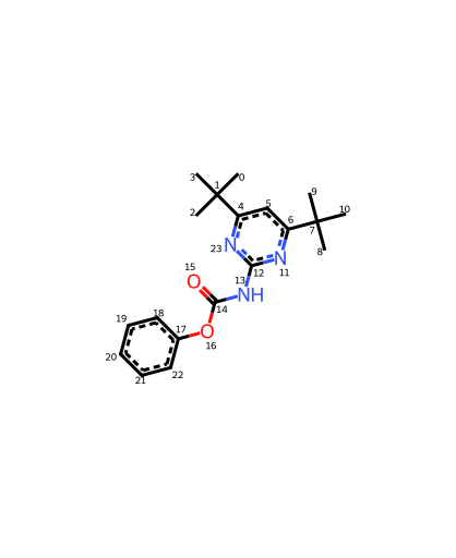 CC(C)(C)c1cc(C(C)(C)C)nc(NC(=O)Oc2ccccc2)n1